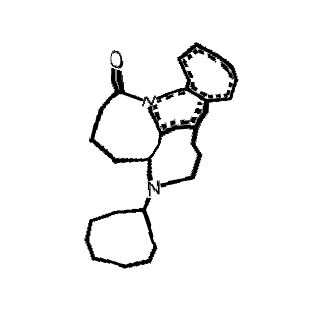 O=C1CCCC2c3c(c4ccccc4n31)CCN2C1CCCCCC1